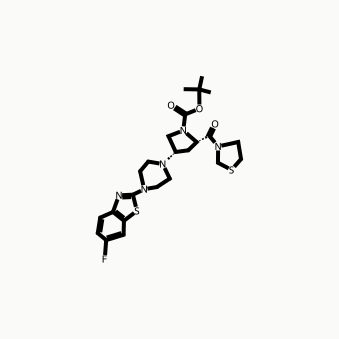 CC(C)(C)OC(=O)N1C[C@@H](N2CCN(c3nc4ccc(F)cc4s3)CC2)C[C@H]1C(=O)N1CCSC1